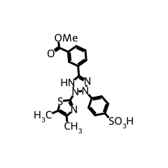 COC(=O)c1cccc(C2=NN(c3ccc(S(=O)(=O)O)cc3)N(c3nc(C)c(C)s3)N2)c1